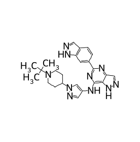 CC(C)(C)N1CCC(n2cc(Nc3nc(-c4ccc5cn[nH]c5c4)nc4cn[nH]c34)cn2)CC1